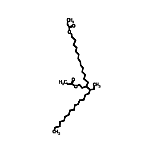 CCCCCCCCCCCCCCCC(CC)C(CCCCCCCCCCCCCCCOC(=O)CC)CCOC(=O)CC